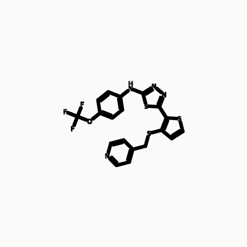 FC(F)(F)Oc1ccc(Nc2nnc(-c3sccc3SCc3ccncc3)s2)cc1